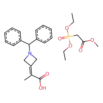 CC(C(=O)O)=C1CN(C(c2ccccc2)c2ccccc2)C1.CCOP(=O)(CC(=O)OC)OCC